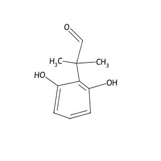 CC(C)(C=O)c1c(O)cccc1O